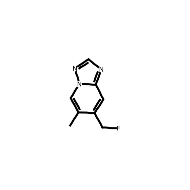 Cc1cn2ncnc2cc1CF